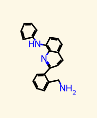 NCc1ccccc1-c1ccc2cccc(Nc3ccccc3)c2n1